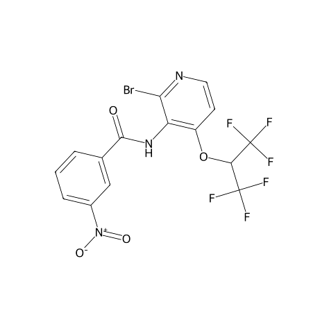 O=C(Nc1c(OC(C(F)(F)F)C(F)(F)F)ccnc1Br)c1cccc([N+](=O)[O-])c1